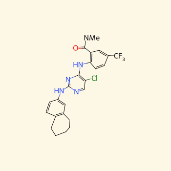 CNC(=O)c1cc(C(F)(F)F)ccc1Nc1nc(Nc2ccc3c(c2)CCCCC3)ncc1Cl